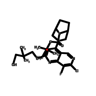 CC(C)(CO)COc1nc(N2CC3CCC(C2)N3C(=O)OC(C)(C)C)c2cnc(Cl)c(F)c2n1